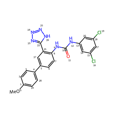 COc1ccc(-c2ccc(NC(=O)Nc3cc(Cl)cc(Cl)c3)c(-c3nnn[nH]3)c2)cc1